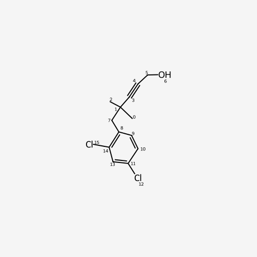 CC(C)(C#CCO)Cc1ccc(Cl)cc1Cl